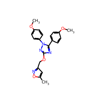 COc1ccc(-c2nc(OCc3cc(C)on3)nn2-c2ccc(OC)cc2)cc1